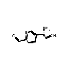 C=C[C@@H](N)c1ccc(C=O)nc1